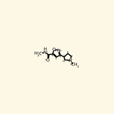 CNC(=O)c1cc(C2CCN(C)C2)no1